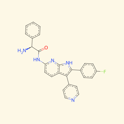 N[C@H](C(=O)Nc1ccc2c(-c3ccncc3)c(-c3ccc(F)cc3)[nH]c2n1)c1ccccc1